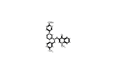 COc1ncc(N2CCC[C@H](N(Cc3ccnc(C)c3)Cc3cn(C)c4ccccc4c3=O)C2)cn1